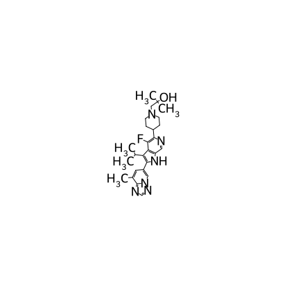 Cc1cc(-c2[nH]c3cnc(C4CCN(CC(C)(C)O)CC4)c(F)c3c2C(C)C)cn2ncnc12